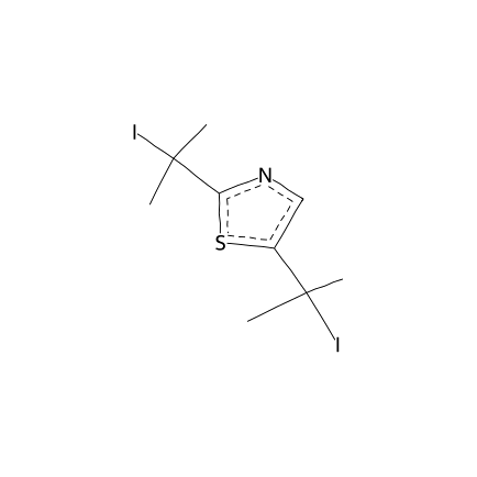 CC(C)(I)c1cnc(C(C)(C)I)s1